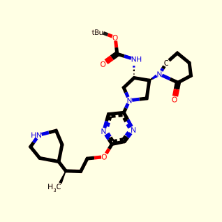 C[C@H](CCOc1cnc(N2C[C@H](NC(=O)OC(C)(C)C)[C@@H](N3CCCCC3=O)C2)cn1)C1CCNCC1